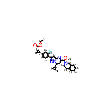 CCOC(=O)[C@H]1C[C@@H]1c1ccc(-c2cc3nc(C(=O)N4CCc5ccccc5[C@H]4C)cc(C4CC4)n3n2)c(F)c1